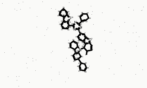 CC1C=Cc2oc3cc(-c4nc(C5=CCCC=C5)nc(-c5cccc6c5sc5ccccc56)n4)ccc3c2C1N1C2=C(C=CC(C3C=CC=CC3)C2)C2C=CC=CC21